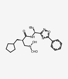 CC(C)(C)[C@H](NC(=O)[C@H](CC1CCCC1)CN(O)C=O)c1noc(-c2ccccc2)n1